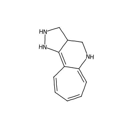 C1=CC=C2NCC3CNNC3=C2C=C1